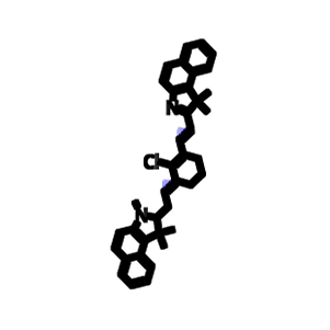 CN1c2ccc3ccccc3c2C(C)(C)C1C/C=C1\CCCC(/C=C/C2=Nc3ccc4ccccc4c3C2(C)C)=C1Cl